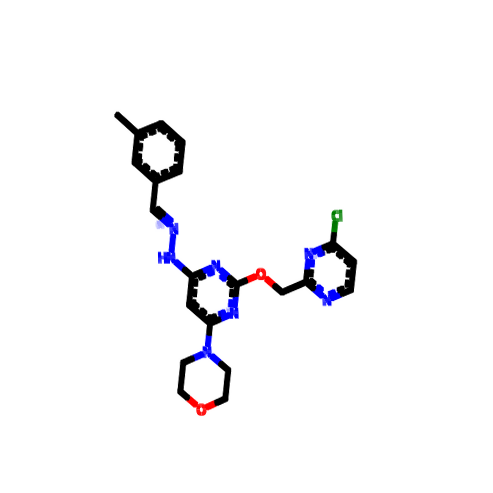 Cc1cccc(/C=N/Nc2cc(N3CCOCC3)nc(OCc3nccc(Cl)n3)n2)c1